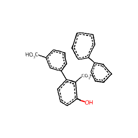 O=C(O)c1cccc(-c2cccc(O)c2C(=O)O)c1.c1ccc(-c2ccccc2)cc1